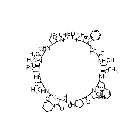 CC[C@H](C)[C@H]1C(=O)N(C)[C@@H](Cc2ccccc2)C(=O)NCC(=O)N[C@@H]([C@@H](C)O)C(=O)N[C@@H](Cc2ccccc2)C(=O)N(C)[C@@H](CC(C)C)C(=O)C2CCC[C@H]2C(=O)N[C@H](C(=O)N2CCCCC2)CC(=O)N[C@H](C)C(=O)N[C@@H](CC(C)C)C(=O)N(C)[C@@H](C)C(=O)N[C@@H](CC(C)C)C(=O)N1C